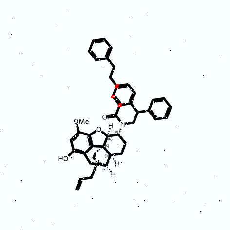 C=CCN1CC[C@]23c4c5c(O)cc(OC)c4O[C@H]2[C@H](N(CC(c2ccccc2)c2ccccc2)C(=O)CCCCCc2ccccc2)CC[C@H]3[C@H]1C5